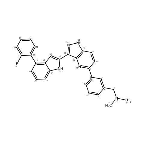 CN(C)Cc1cncc(-c2ccc3[nH]nc(-c4cc5c(-c6ccccc6F)cccc5[nH]4)c3n2)c1